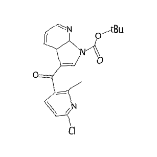 Cc1nc(Cl)ccc1C(=O)C1=CN(C(=O)OC(C)(C)C)C2N=CC=CC12